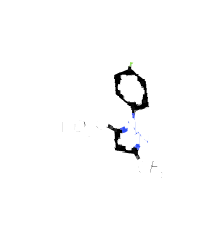 O=C(O)c1cc(C(F)(F)F)nn1-c1ccc(F)cc1